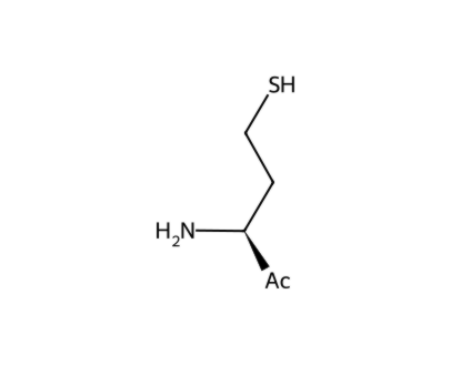 [CH2]C(=O)[C@@H](N)CCS